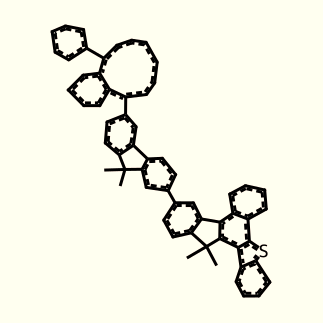 CC1(C)c2ccc(-c3ccccccc(-c4ccccc4)c4ccccc34)cc2-c2ccc(-c3ccc4c(c3)-c3c(c5c6ccccc6sc5c5ccccc35)C4(C)C)cc21